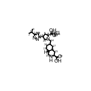 CC(C)c1nnn([C@H]2C[C@@H](C(=O)O)N(CC3CC[C@H]4CNC(C(=O)O)CC4C3)C2)n1.Cl.Cl